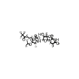 Cc1cn([C@@H]2O[C@H](CO[P@@](=O)(N[C@H](C)C(=O)OC(C)C)OCCSC(=O)C(C)(C)C)[C@@H](O)[C@@]2(F)Cl)c(=O)[nH]c1=O